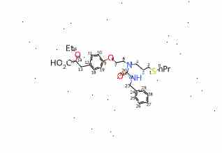 CCCSCCCN(CCOc1ccc(CC(OCC)C(=O)O)cc1)C(=O)NCc1ccccc1